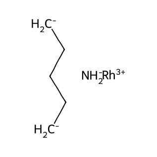 [CH2-]CCC[CH2-].[NH2-].[Rh+3]